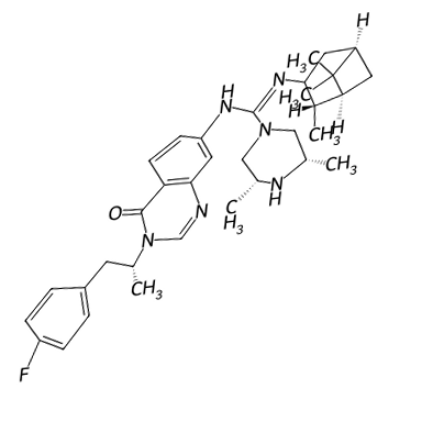 C[C@@H]1CN(/C(=N\C2C[C@H]3C[C@@H]([C@@H]2C)C3(C)C)Nc2ccc3c(=O)n([C@H](C)Cc4ccc(F)cc4)cnc3c2)C[C@H](C)N1